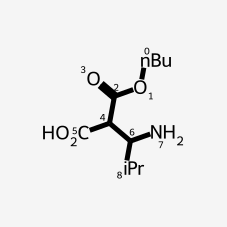 CCCCOC(=O)C(C(=O)O)C(N)C(C)C